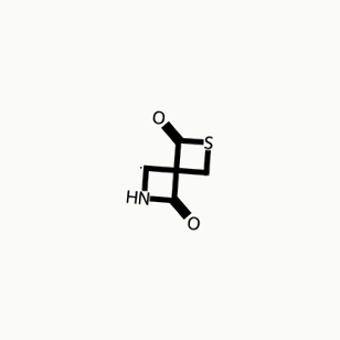 O=C1N[CH]C12CSC2=O